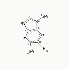 CC(C)c1cc2ncn(C(C)C)c2cc1F